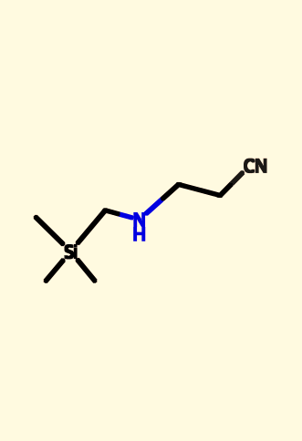 C[Si](C)(C)CNCCC#N